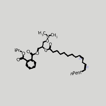 CCCCC/C=C\C/C=C\CCCCCCCC(=O)OC(COC(=O)c1ccccc1C(=O)OC(C)C)CON(C)C